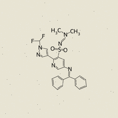 CN(C)C=NS(=O)(=O)c1cc(N=C(c2ccccc2)c2ccccc2)cnc1-c1cnn(C(F)F)c1